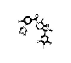 C[C@H]1c2nn(C)c(-c3cc(F)c(F)c(F)c3)c2CCN1C(=O)c1ccc(F)c(-n2cnnc2)c1